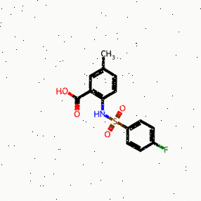 Cc1ccc(NS(=O)(=O)c2ccc(F)cc2)c(C(=O)O)c1